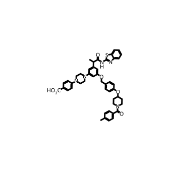 Cc1ccc(C(=O)N2CCC(Oc3ccc(COc4cc(C(C)C(=O)Nc5nc6ccccc6s5)cc(N5CCN(c6ccc(C(=O)O)cc6)CC5)c4)cc3)CC2)cc1